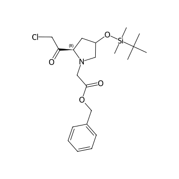 CC(C)(C)[Si](C)(C)OC1C[C@H](C(=O)CCl)N(CC(=O)OCc2ccccc2)C1